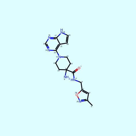 Cc1cc(CNC(=O)C2(N)CCN(c3ncnc4[nH]ccc34)CC2)on1